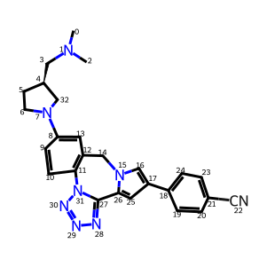 CN(C)C[C@@H]1CCN(c2ccc3c(c2)Cn2cc(-c4ccc(C#N)cc4)cc2-c2nnnn2-3)C1